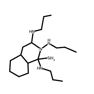 CCCNC1CC2CCCCC2C([SiH3])(NCCC)N1NCCC